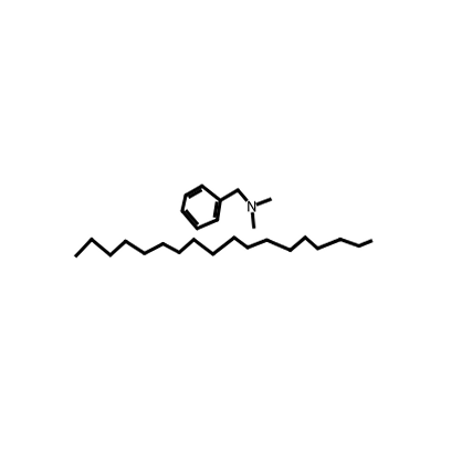 CCCCCCCCCCCCCCCCCC.CN(C)Cc1ccccc1